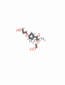 CC(C)(OCCO)C(=O)c1ccc(OCCCO)cc1